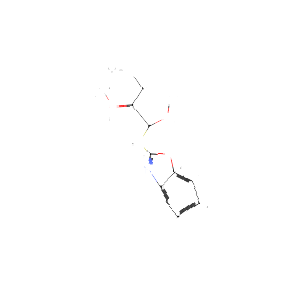 COCC(OC(=O)O)C(OC(=O)O)Sc1nc2ccccc2o1